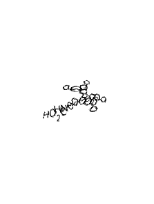 O=C(O)NCCOCCOCCOC12COc3c(ccc(OCc4ccccc4)c3OCc3ccccc3)C1c1cc(OCc3ccccc3)c(OCc3ccccc3)cc1C2